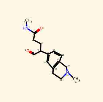 CNC(=O)CCC(C=O)c1ccc2c(c1)CCN(C)C2